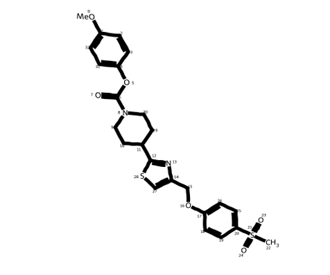 COc1ccc(OC(=O)N2CCC(c3nc(COc4ccc(S(C)(=O)=O)cc4)cs3)CC2)cc1